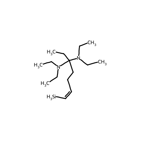 CCN(CC)C(CC)(CC/C=C\[SiH3])N(CC)CC